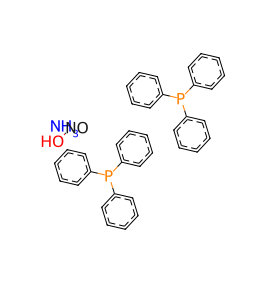 N.O=NO.c1ccc(P(c2ccccc2)c2ccccc2)cc1.c1ccc(P(c2ccccc2)c2ccccc2)cc1